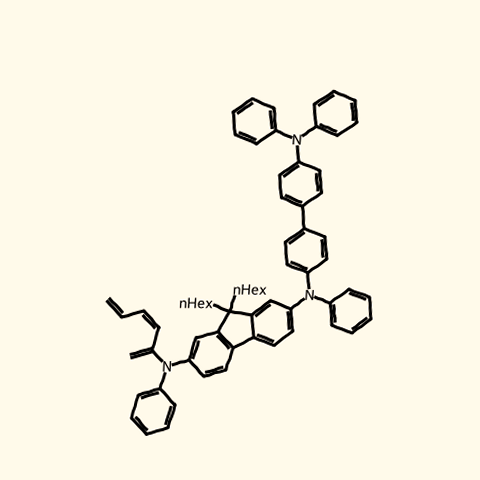 C=C/C=C\C(=C)N(c1ccccc1)c1ccc2c(c1)C(CCCCCC)(CCCCCC)c1cc(N(c3ccccc3)c3ccc(-c4ccc(N(c5ccccc5)c5ccccc5)cc4)cc3)ccc1-2